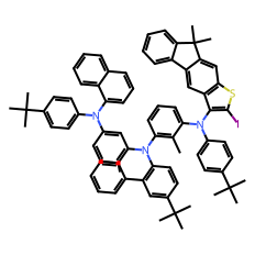 Cc1ccc(N(c2ccc(C(C)(C)C)cc2)c2cccc3ccccc23)cc1N(c1ccc(C(C)(C)C)cc1-c1ccccc1)c1cccc(N(c2ccc(C(C)(C)C)cc2)c2c(I)sc3cc4c(cc23)-c2ccccc2C4(C)C)c1C